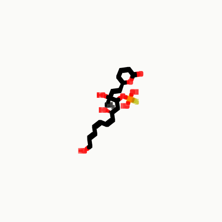 C[C@@](O)(/C=C/[C@H]1CC=CC(=O)O1)C(C[C@@H](O)\C=C/C=C\C=C\CO)OP(O)(O)=S